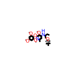 CCC(CO[Si](C)(C)C(C)(C)C)Nc1cc(C)nc(Oc2c(OC)cc(OC)cc2OC)c1OC